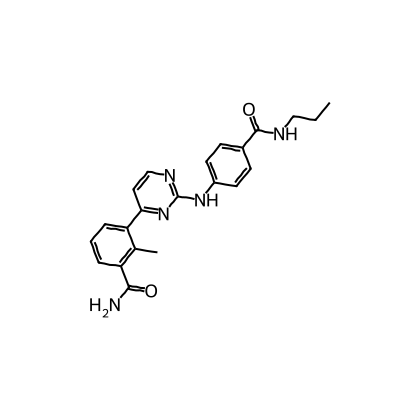 CCCNC(=O)c1ccc(Nc2nccc(-c3cccc(C(N)=O)c3C)n2)cc1